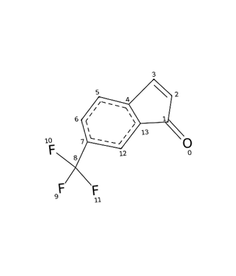 O=C1C=Cc2ccc(C(F)(F)F)cc21